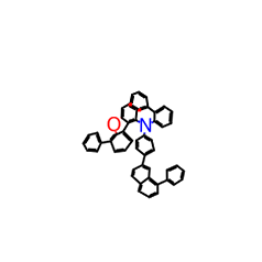 c1ccc(-c2ccccc2N(c2ccc(-c3ccc4cccc(-c5ccccc5)c4c3)cc2)c2cccc3oc4c(-c5ccccc5)cccc4c23)cc1